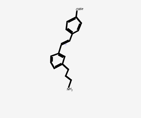 COc1ccc(/C=C/c2cccc(CCCN)c2)cc1